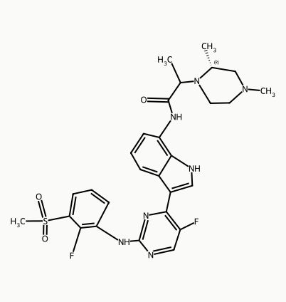 CC(C(=O)Nc1cccc2c(-c3nc(Nc4cccc(S(C)(=O)=O)c4F)ncc3F)c[nH]c12)N1CCN(C)C[C@H]1C